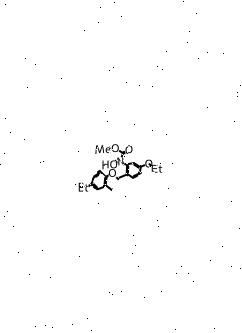 CCOc1ccc(COc2ccc(CC)cc2C)c(N(O)C(=O)OC)c1